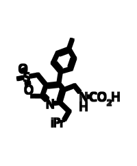 Cc1ccc(-c2c(CS(C)(=O)=O)c(C)nc(CC(C)C)c2CNC(=O)O)cc1